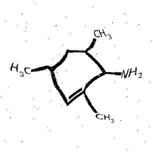 CC1=CC(C)CC(C)C1N